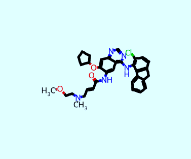 COCCN(C)CC=CC(=O)Nc1cc2c(Nc3c(Cl)ccc4c3-c3ccccc3C4)ncnc2cc1OC1CCCC1